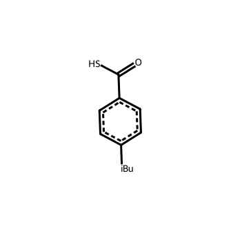 CCC(C)c1ccc(C(=O)S)cc1